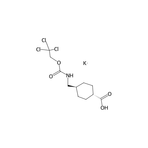 O=C(NC[C@H]1CC[C@H](C(=O)O)CC1)OCC(Cl)(Cl)Cl.[K]